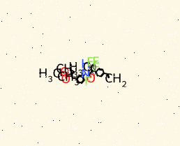 C=CC1=CCC([C@@H](C(=O)Nc2cc(CC3(C(=O)OC(C)(C)C)CC3)ccc2F)[C@@H](C)C(F)(F)F)C=C1